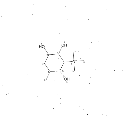 CC1CC(O)C(O)C([N+](C)(C)C)[C@@H]1O